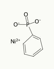 O=P([O-])([O-])c1ccccc1.[Ni+2]